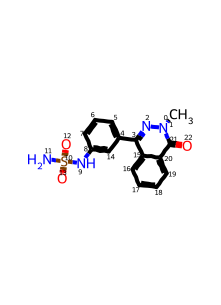 Cn1nc(-c2cccc(NS(N)(=O)=O)c2)c2ccccc2c1=O